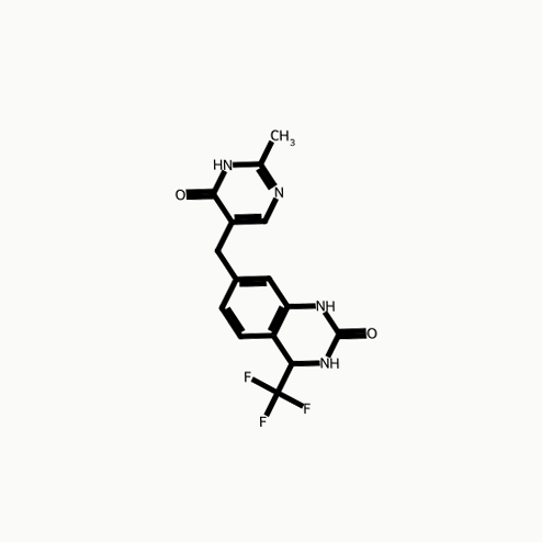 Cc1ncc(Cc2ccc3c(c2)NC(=O)NC3C(F)(F)F)c(=O)[nH]1